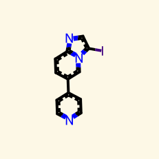 Ic1cnc2ccc(-c3ccncc3)cn12